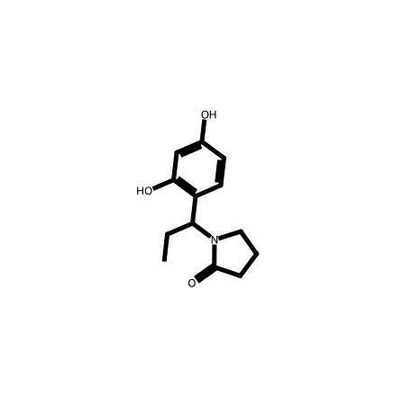 CCC(c1ccc(O)cc1O)N1CCCC1=O